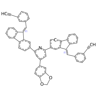 C#Cc1cccc(/C=C2\c3ccccc3-c3ccc(-c4cc(-c5ccc6c(c5)OCO6)cc(-c5ccc6c(c5)/C(=C/c5cccc(C#C)c5)c5ccccc5-6)n4)cc32)c1